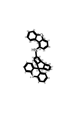 c1ccc2c(c1)Sc1ccccc1C21c2ccccc2-c2cc(Nc3cccc4oc5ccccc5c34)ccc21